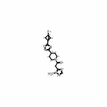 Cn1ncnc1CC(=O)N1CCC(c2noc(C34CC(F)(C3)C4)n2)CC1